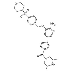 CC1CN(C(=O)c2ccc(-c3cnc(N)c(OCc4ccc(S(=O)(=O)N5CCOCC5)cc4)c3)cc2)CC(C)N1